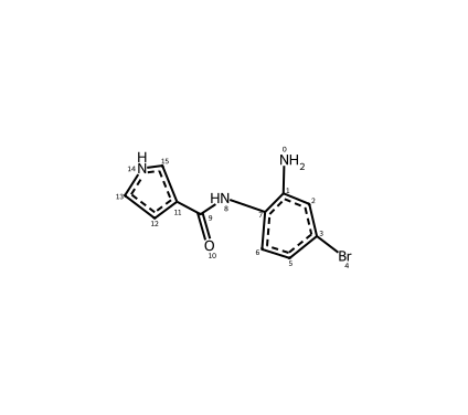 Nc1cc(Br)ccc1NC(=O)c1cc[nH]c1